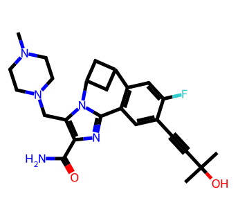 CN1CCN(Cc2c(C(N)=O)nc3n2C2CC(C2)c2cc(F)c(C#CC(C)(C)O)cc2-3)CC1